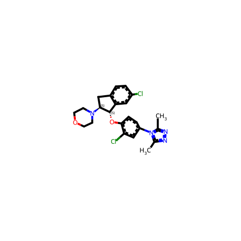 Cc1nnc(C)n1-c1ccc(O[C@H]2c3cc(Cl)ccc3C[C@@H]2N2CCOCC2)c(Cl)c1